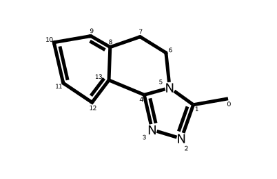 Cc1nnc2n1CCc1ccccc1-2